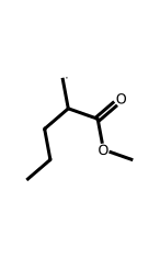 [CH2]C(CCC)C(=O)OC